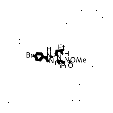 CCC1(C)C[C@@H](c2ncc(-c3ccc(Br)cc3)[nH]2)N(C(=O)[C@@H](NC(=O)OC)C(C)C)C1